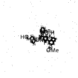 CCc1cccc2cc(OCOC)cc(-c3ccc4c(N5CC6CCC(C(C)(C)C)(C5)N6C(=O)O)nc(OC[C@]56CCCN5[C@H](CO)CC6)nc4c3F)c12